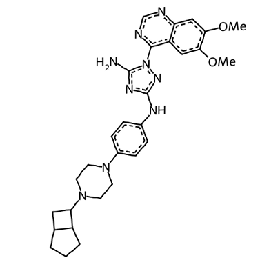 COc1cc2ncnc(-n3nc(Nc4ccc(N5CCN(C6CC7CCCC76)CC5)cc4)nc3N)c2cc1OC